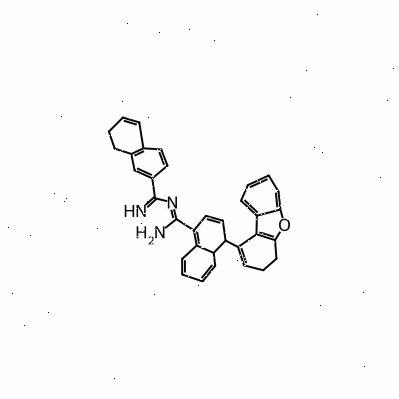 N=C(/N=C(\N)C1=C2C=CC=CC2C(C2=CCCc3oc4ccccc4c32)C=C1)c1ccc2c(c1)CCC=C2